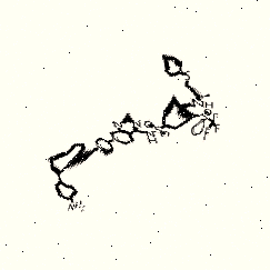 C[C@H](CSc1ccccc1)Nc1ccc(S(=O)(=O)Nc2ncnc3c2CCN(C2CCN(Cc4ccccc4-c4ccc(N)cc4)CC2)C3)cc1S(=O)(=O)C(F)(F)F